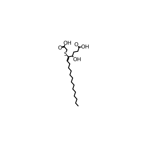 CCCCCCCCCCCCC/C=C(/SCC(=O)O)C(O)CCC(=O)O